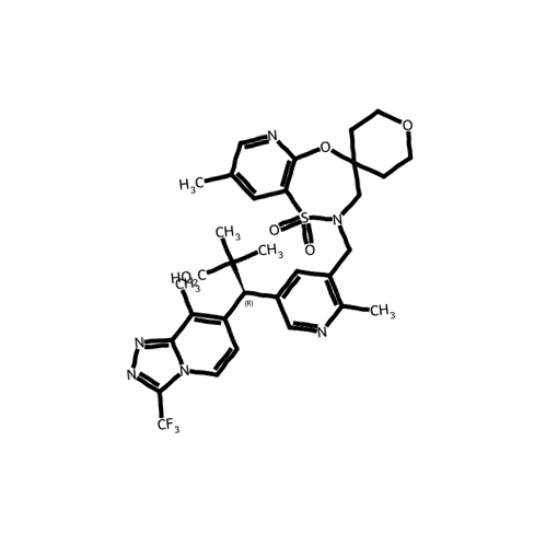 Cc1cnc2c(c1)S(=O)(=O)N(Cc1cc([C@@H](c3ccn4c(C(F)(F)F)nnc4c3C)C(C)(C)C(=O)O)cnc1C)CC1(CCOCC1)O2